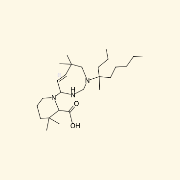 CCCCCC(C)(CCC)N1CNC(N2CCCC(C)(C)C2C(=O)O)/C=C/C(C)(C)C1